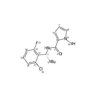 CCCC[C@@H](NC(=O)c1cccn1C(C)C)c1c(F)cccc1Cl